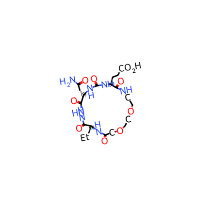 CC[C@@H]1NC(=O)COCCOCCNC(=O)[C@H](CCC(=O)O)NC(=O)N[C@@H](CC(N)=O)C(=O)NNC1=O